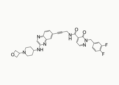 O=C(NCC#Cc1ccc2ncc(NC3CCN(C4COC4)CC3)nc2c1)c1ccnn(Cc2ccc(F)c(F)c2)c1=O